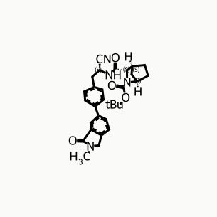 CN1Cc2ccc(-c3ccc(C[C@@H](C#N)NC(=O)[C@@H]4[C@H]5CC[C@H](C5)N4C(=O)OC(C)(C)C)cc3)cc2C1=O